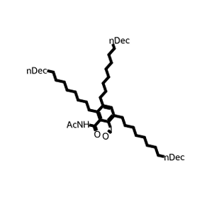 CCCCCCCCCCCCCCCCCCc1cc(CCCCCCCCCCCCCCCCCC)c(I=O)c(C(=O)NC(C)=O)c1CCCCCCCCCCCCCCCCCC